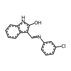 Oc1[nH]c2ccccc2c1C=Nc1cccc(Cl)c1